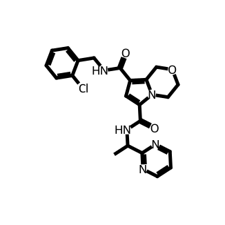 CC(NC(=O)c1cc(C(=O)NCc2ccccc2Cl)c2n1CCOC2)c1ncccn1